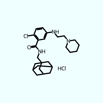 Cl.O=C(NCC12CC3CC(CC(C3)C1)C2)c1cc(NCCN2CCCCC2)ccc1Cl